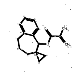 C=C(C)C(=O)OC1c2ccccc2CCCC12CC2